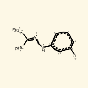 CCOC(=O)/C(C=O)=N/Nc1cccc(Cl)c1